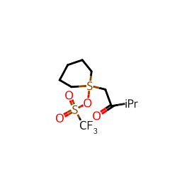 CC(C)C(=O)CS1(OS(=O)(=O)C(F)(F)F)CCCCC1